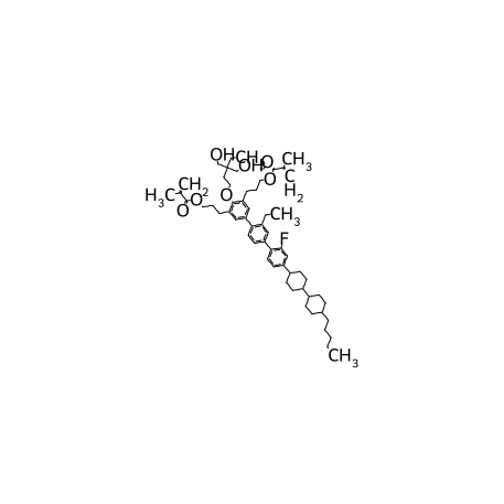 C=C(C)C(=O)OCCCc1cc(-c2ccc(-c3ccc(C4CCC(C5CCC(CCCCC)CC5)CC4)cc3F)cc2CC)cc(CCCOC(=O)C(=C)C)c1OCCC(CC)(CO)CO